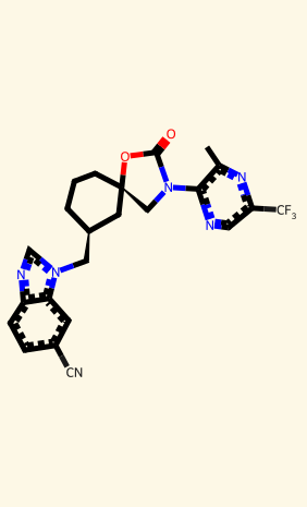 Cc1nc(C(F)(F)F)cnc1N1C[C@@]2(CCC[C@H](Cn3cnc4ccc(C#N)cc43)C2)OC1=O